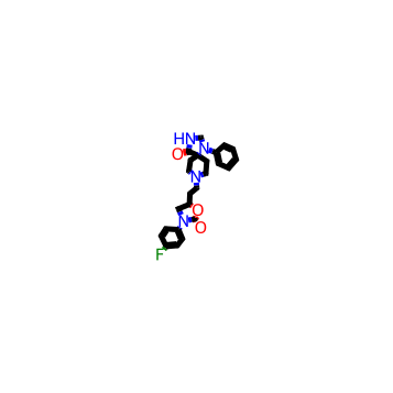 O=C1OC(CCN2CCC3(CC2)C(=O)NCN3c2ccccc2)CN1c1ccc(F)cc1